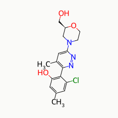 Cc1cc(O)c(-c2nnc(N3CCO[C@H](CO)C3)cc2C)c(Cl)c1